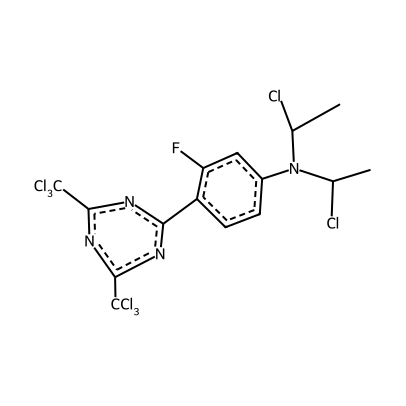 CC(Cl)N(c1ccc(-c2nc(C(Cl)(Cl)Cl)nc(C(Cl)(Cl)Cl)n2)c(F)c1)C(C)Cl